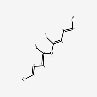 ClC=CC=C(Cl)OC(Cl)=CC=CCl